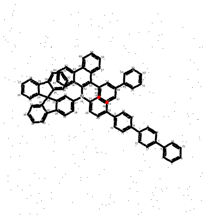 c1ccc(-c2ccc(-c3ccc(-c4ccc(N(c5ccc6c(c5)C5(c7ccccc7-c7ccccc75)c5ccccc5-6)c5c(-c6cccc(-c7ccccc7)c6)c6ccccc6c6ccccc56)cc4)cc3)cc2)cc1